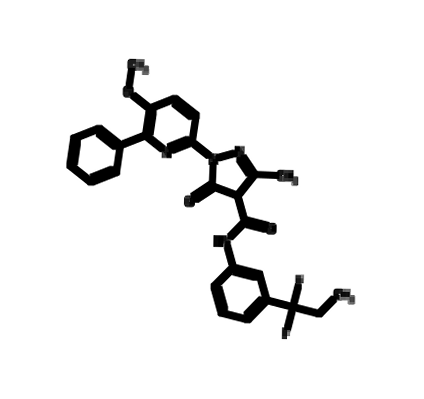 CCC(F)(F)c1cccc(NC(=O)C2C(=O)N(c3ccc(OC)c(-c4ccccc4)n3)N=C2C)c1